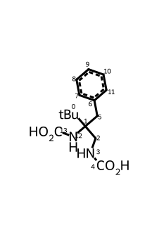 CC(C)(C)C(CNC(=O)O)(Cc1ccccc1)NC(=O)O